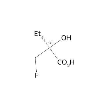 CC[C@@](O)(CF)C(=O)O